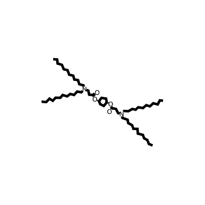 CCCCCCCCCCCCN(CCCCCCCCCCCC)CCC(=O)O[C@H]1CC[C@@H](OC(=O)CCN(CCCCCCCCCCCC)CCCCCCCCCCCC)CC1